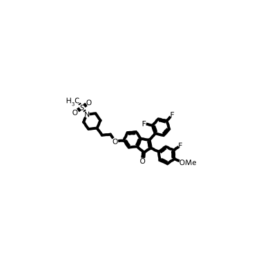 COc1ccc(C2=C(c3ccc(F)cc3F)c3ccc(OCCC4CCN(S(C)(=O)=O)CC4)cc3C2=O)cc1F